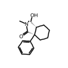 CN(C)C(=O)[C@@]1(c2ccccc2)CCCC[C@H]1CO